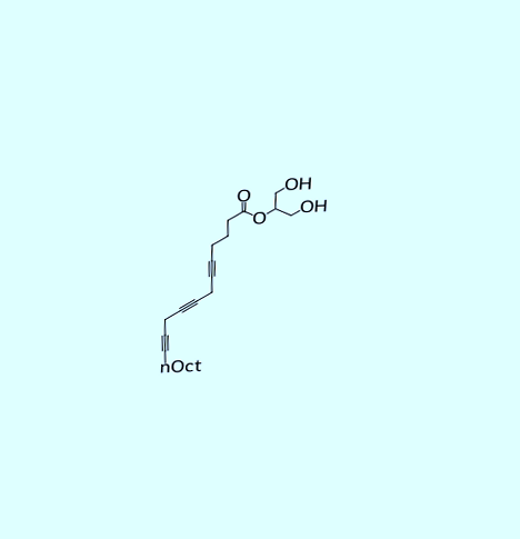 CCCCCCCCC#CCC#CCC#CCCCC(=O)OC(CO)CO